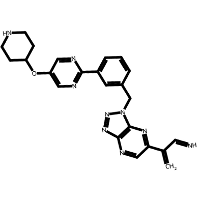 C=C(C=N)c1cnc2nnn(Cc3cccc(-c4ncc(OC5CCNCC5)cn4)c3)c2n1